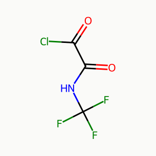 O=C(Cl)C(=O)NC(F)(F)F